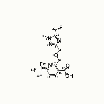 Cn1nc(COCc2nc(C(F)(F)F)ccc2C(=O)O)nc1CF